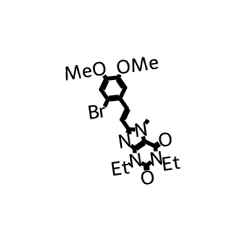 CCn1c(=O)c2c(nc(C=Cc3cc(OC)c(OC)cc3Br)n2C)n(CC)c1=O